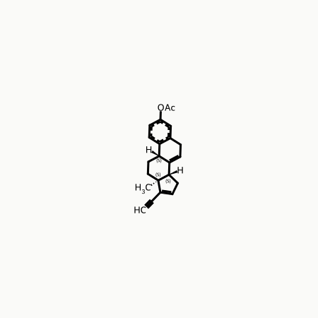 C#CC1=CC[C@H]2C3=CCc4cc(OC(C)=O)ccc4[C@H]3CC[C@]12C